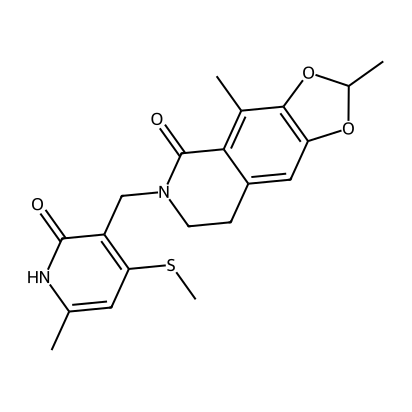 CSc1cc(C)[nH]c(=O)c1CN1CCc2cc3c(c(C)c2C1=O)OC(C)O3